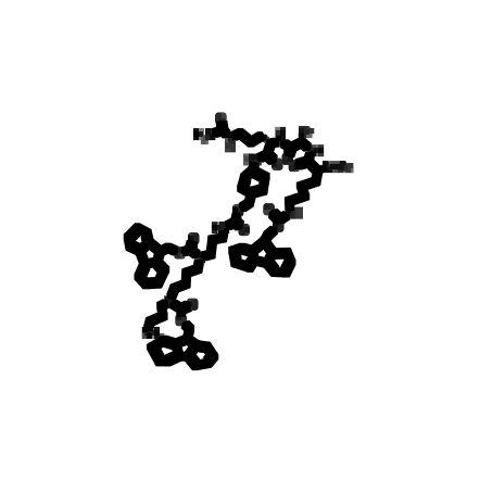 CC(=O)N[C@@H](CCCCNC(=O)OCC1c2ccccc2-c2ccccc21)C(=O)N[C@H](C(=O)N[C@@H](CCCNC(N)=O)C(=O)Nc1ccc(COC(=O)NCCCN(CCCCN(CCCN)C(=O)OCC2c3ccccc3-c3ccccc32)C(=O)OCC2c3ccccc3-c3ccccc32)cc1)C(C)C